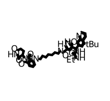 CCNC(=O)NC(c1cncc(C(=O)NCCCCCCCNc2cccc3c2C(=O)N(C2CCC(=O)NC2=O)C3=O)c1)c1cc(C(C)(C)C)c2cccnc2c1O